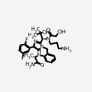 C[C@H](Nc1ccccc1Cn1cc(-c2cc(F)ccc2F)nc1[C@H](N(CCCN)C(=O)CO)C(C)(C)C)C(N)=O